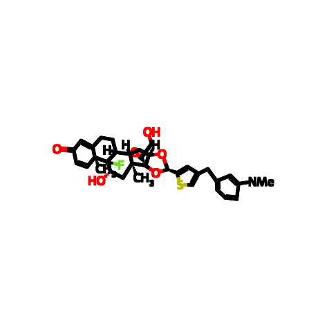 CNc1cccc(Cc2csc([C@@H]3O[C@@H]4C[C@H]5[C@@H]6CCC7=CC(=O)C=C[C@]7(C)[C@@]6(F)[C@@H](O)C[C@]5(C)[C@]4(C(=O)CO)O3)c2)c1